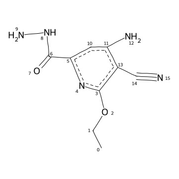 CCOc1nc(C(=O)NN)cc(N)c1C#N